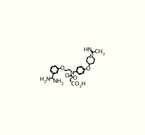 CC(=N)N1CCC(Oc2ccc(N(CCOc3cccc(C(N)N)c3)S(=O)(=O)CC(=O)O)cc2)CC1